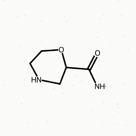 [NH]C(=O)C1CNCCO1